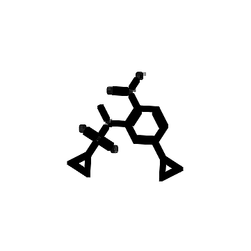 CN(c1cc(C2CC2)ccc1[N+](=O)[O-])S(=O)(=O)C1CC1